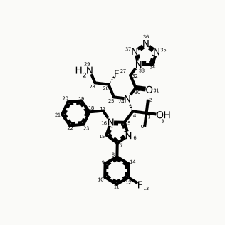 CC(C)(O)[C@H](c1nc(-c2cccc(F)c2)cn1Cc1ccccc1)N(C[C@@H](F)CN)C(=O)Cn1cnnn1